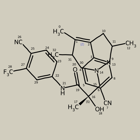 C/C1=C(/c2ccc(C#N)cn2)CC(C)CN(C[C@](C)(O)C(=O)Nc2ccc(C#N)c(C(F)(F)F)c2)CC1C